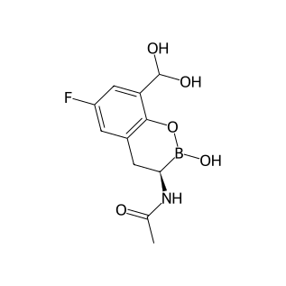 CC(=O)N[C@H]1Cc2cc(F)cc(C(O)O)c2OB1O